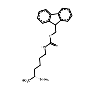 CC(=O)N[C@@H](CCCCNC(=O)OCC1c2ccccc2-c2ccccc21)C(=O)O